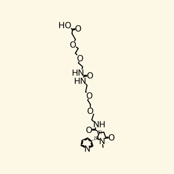 CN1C(=O)C[C@H](C(=O)NCCOCCOCCNC(=O)NCCOCCOCCC(=O)O)[C@H]1c1cccnc1